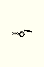 CC#CCN1CCCC(C=O)C1